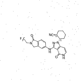 N#C[C@H]1CCCC[C@@H]1n1nc(Nc2ccc3c(c2)CN(CC(F)(F)F)C3=O)c2c(=O)[nH]ccc21